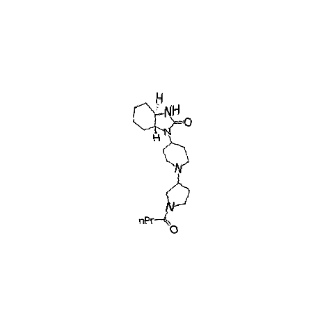 CCCC(=O)N1CCC(N2CCC(N3C(=O)N[C@@H]4CCCC[C@H]43)CC2)C1